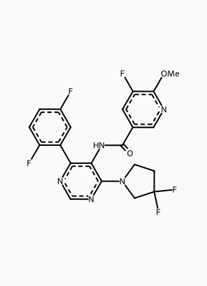 COc1ncc(C(=O)Nc2c(-c3cc(F)ccc3F)ncnc2N2CCC(F)(F)C2)cc1F